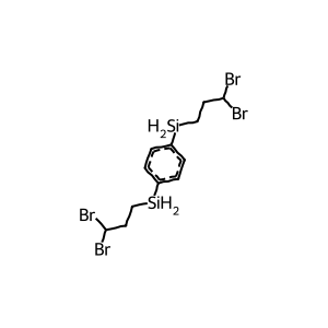 BrC(Br)CC[SiH2]c1ccc([SiH2]CCC(Br)Br)cc1